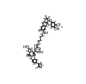 Cc1ncsc1-c1ccc(CNC(=O)C2CC(O)CN2C(=O)C(NC(=O)COCCCCCNc2ccc(CN3CC(C)(C)C(Oc4ccc(C#N)c(C(F)(F)F)c4)C3=O)cc2F)C(C)(C)C)cc1